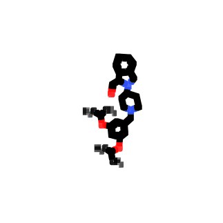 CC(C)Oc1cc(CN2CCC(N3Cc4ccccc4C3C=O)CC2)cc(OC(C)C)c1